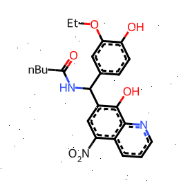 CCCCC(=O)NC(c1ccc(O)c(OCC)c1)c1cc([N+](=O)[O-])c2cccnc2c1O